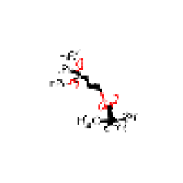 CCCO[Si](CCCOC(=O)C(C)(C)C(C)C)(OCCC)C(C)C